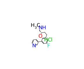 CNC[C@H]1CCc2cc(F)cc(-c3cccnc3)c2O1.Cl